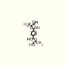 CC(CO)OC(O)c1ccc(C(O)OC(C)CO)nc1